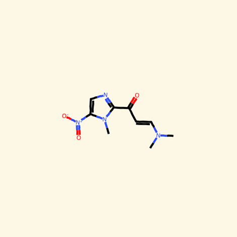 CN(C)C=CC(=O)c1ncc([N+](=O)[O-])n1C